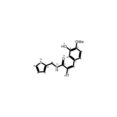 CCC(=Cc1ccc(OC)c(O)c1)C(=O)NCc1cccs1